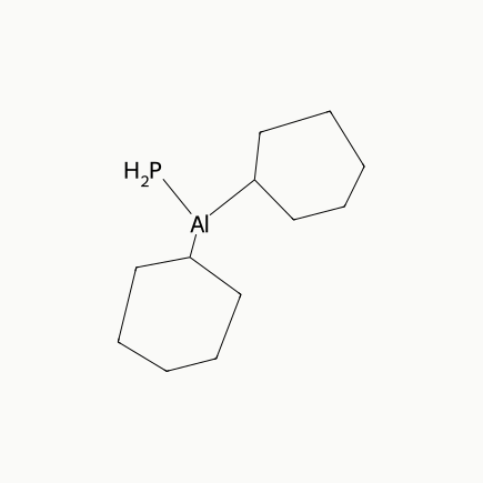 [PH2][Al]([CH]1CCCCC1)[CH]1CCCCC1